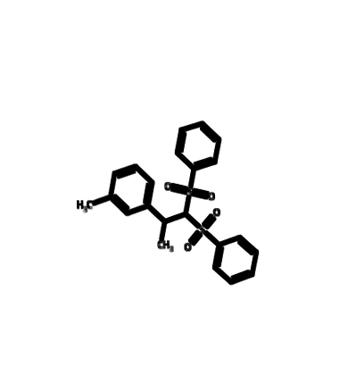 Cc1cccc(C(C)C(S(=O)(=O)c2ccccc2)S(=O)(=O)c2ccccc2)c1